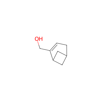 OCC1=CCC2CC1C2